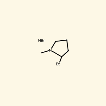 Br.CCC1CCCN1C